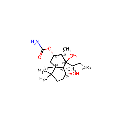 CC[C@@H](C)CC[C@@]1(O)[C@@H](C)[C@@H](OC(N)=O)C[C@H]2C(C)(C)CC[C@H](O)[C@@]21C